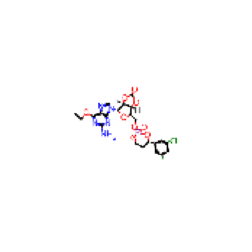 CCOc1nc(N)nc2c1ncn2[C@@H]1O[C@H](CO[P@@]2(=O)OCC[C@@H](c3cc(F)cc(Cl)c3)O2)[C@H]2OC(=O)O[C@]21C